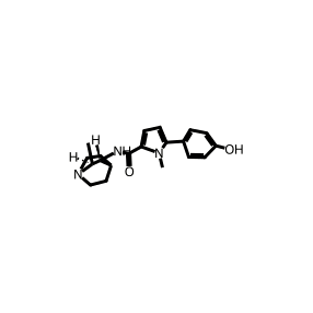 C[C@H]1[C@H](NC(=O)c2ccc(-c3ccc(O)cc3)n2C)C2CCN1CC2